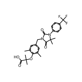 Cc1cc(CN2C(=O)N(c3ccc(C(F)(F)F)cc3)C(C)(C)C2=O)cc(C)c1OC(C)(C)C(=O)O